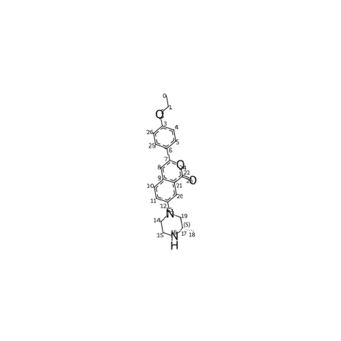 CCOc1ccc(-c2cc3ccc(N4CCN[C@@H](C)C4)cc3c(=O)o2)cc1